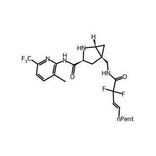 CCCCC/C=C/C(F)(F)C(=O)NC[C@@]12C[C@@H](C(=O)Nc3nc(C(F)(F)F)ccc3C)N[C@@H]1C2